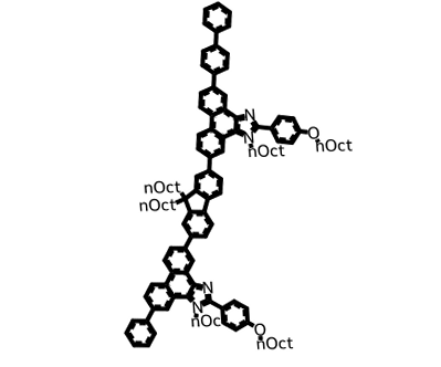 CCCCCCCCOc1ccc(-c2nc3c4cc(-c5ccc6c(c5)C(CCCCCCCC)(CCCCCCCC)c5cc(-c7ccc8c9ccc(-c%10ccc(-c%11ccccc%11)cc%10)cc9c9nc(-c%10ccc(OCCCCCCCC)cc%10)n(CCCCCCCC)c9c8c7)ccc5-6)ccc4c4ccc(-c5ccccc5)cc4c3n2CCCCCCCC)cc1